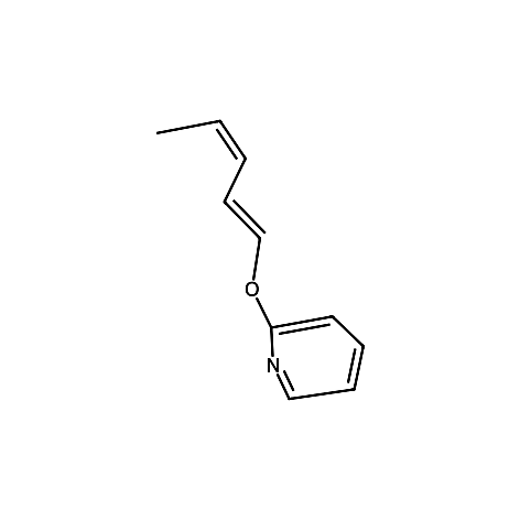 C/C=C\C=C\Oc1ccccn1